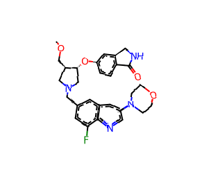 COC[C@@H]1CN(Cc2cc(F)c3ncc(N4CCOCC4)cc3c2)C[C@H]1Oc1ccc2c(c1)CNC2=O